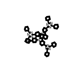 N#Cc1ccc(-n2c3ccccc3c3cc(-c4nc(-c5ccccc5)nc(-c5ccccc5)n4)ccc32)c(-c2cc(-n3c4ccccc4c4cc(-c5nc(-c6ccccc6)nc(-c6ccccc6)n5)ccc43)ccc2-c2nc(-c3ccccc3)nc(-c3ccccc3)n2)c1